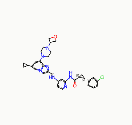 O=C(Nc1cc(NCc2cn3cc(C4CC4)cc(N4CCN(C5COC5)CC4)c3n2)ccn1)[C@H]1C[C@@H]1c1cccc(Cl)c1